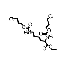 CCOC(=O)C(CCCCNC(=O)OCCCCl)NC(=O)OCCCCl